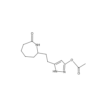 CC(=O)Oc1cc(CCC2CCCCC(=O)N2)[nH]n1